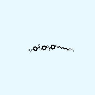 [CH2]CCCCCCCOc1ccc(C(=O)Oc2ccc(OC(=O)c3ccc(C)cc3)cc2)cc1